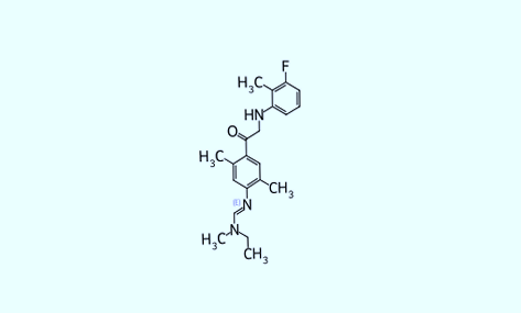 CCN(C)/C=N/c1cc(C)c(C(=O)CNc2cccc(F)c2C)cc1C